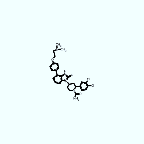 CN(C)CCOc1ccc(-c2cccc3c2[nH]c(=O)n3C2CCN(C(N)=O)C(c3ccc(Cl)c(Cl)c3)C2)cc1